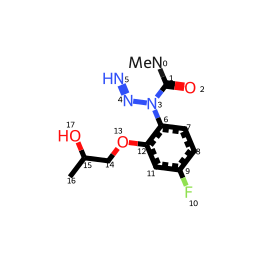 CNC(=O)N(N=N)c1ccc(F)cc1OCC(C)O